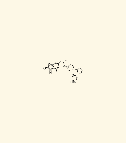 CCCCOC(=O)[C@H]1CCCN1C1CCN(C(=O)[C@H](C)Cc2cc(C)c3[nH]c(=O)oc3c2)CC1